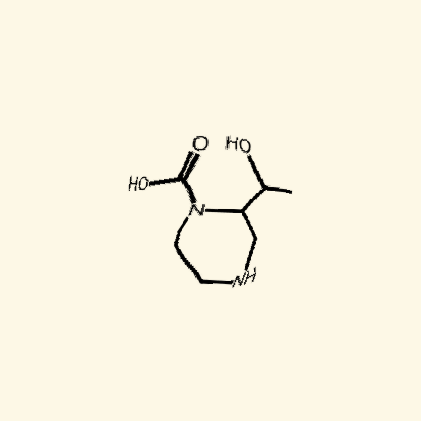 CC(O)C1CNCCN1C(=O)O